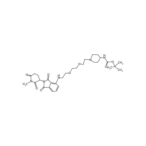 CN1C(=O)CCC(N2C(=O)c3cccc(NCCOCCOCCN4CCC(NC(=O)OC(C)(C)C)CC4)c3C2=O)C1=O